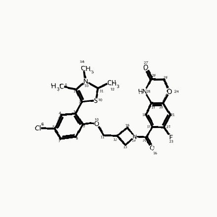 CC1=C(c2cc(Cl)ccc2OCC2CN(C(=O)c3cc4c(cc3F)OCC(=O)N4)C2)SC(C)N1C